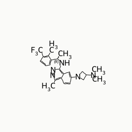 Cc1c([C@@H](C)Nc2nnc(C)c3ccc(N4CC(N(C)C)C4)cc23)cccc1C(F)(F)F